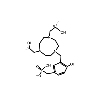 C[C@H](O)CN1CCN(Cc2cc(CP(=O)(O)O)ccc2O)CCN(C[C@H](C)O)CC1